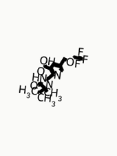 CC(C)C1(C)N=C(c2ncc(COCC(F)(F)F)cc2C(=O)O)NC1=O